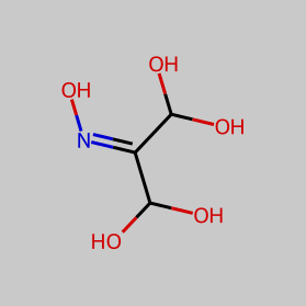 ON=C(C(O)O)C(O)O